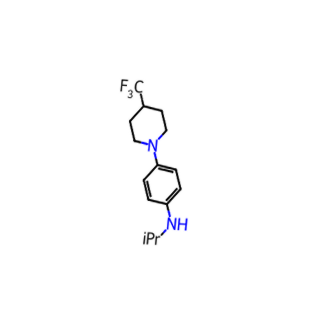 CC(C)Nc1ccc(N2CCC(C(F)(F)F)CC2)cc1